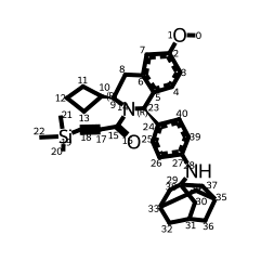 COc1ccc2c(c1)C[C@H](C1CCC1)N(C(=O)C#C[Si](C)(C)C)[C@@H]2c1ccc(NC23CC4CC(CC(C4)C2)C3)cc1